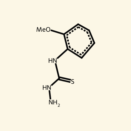 COc1ccccc1NC(=S)NN